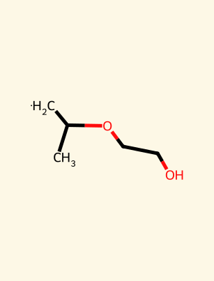 [CH2]C(C)OCCO